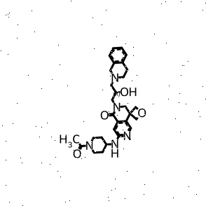 CC(=O)N1CCC(Nc2cc3c(cn2)C2(COC2)CN(C[C@H](O)CN2CCc4ccccc4C2)C3=O)CC1